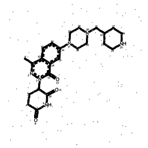 Cc1nn(C2CCC(=O)NC2=O)c(=O)c2cc(N3CCN(CC4CCNCC4)CC3)ccc12